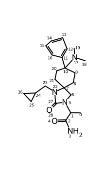 CC(C(N)=O)N1CC2(CCC(c3ccccc3)(N(C)C)CC2)N(CC2CC2)C1=O